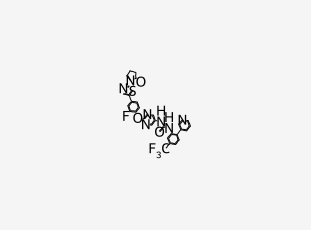 O=C(Nc1cnc(Oc2ccc(-c3cnc(N4CCCC4=O)s3)cc2F)nc1)Nc1cc(C(F)(F)F)ccc1-c1cccnc1